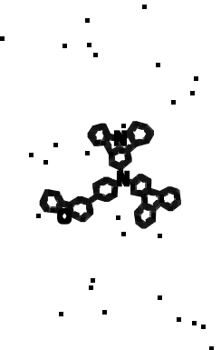 c1ccc2c(c1)oc1ccc(-c3ccc(N(c4ccc5c6ccccc6c6ccccc6c5c4)c4cc5c6ccccc6n6c7ccccc7c(c4)c56)cc3)cc12